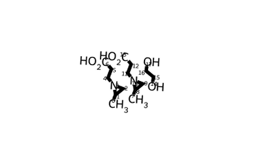 CC1CN1CCC(=O)O.CC1CN1CCC(=O)O.OCCO